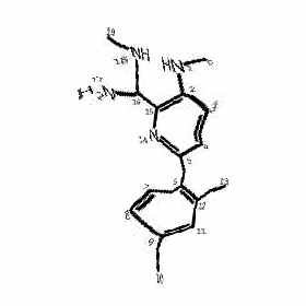 CNc1ccc(-c2ccc(C)cc2C)nc1C(N)NC